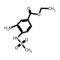 CCOC(=O)c1ccc(NS(C)(=O)=O)c(N)c1